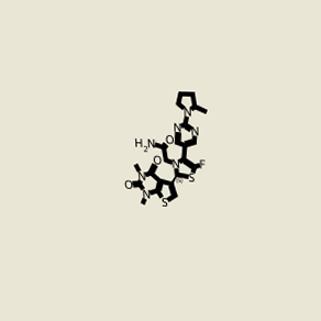 CC1CCCN1c1ncc(C2=C(F)S[C@@H](c3csc4c3c(=O)n(C)c(=O)n4C)N2CC(N)=O)cn1